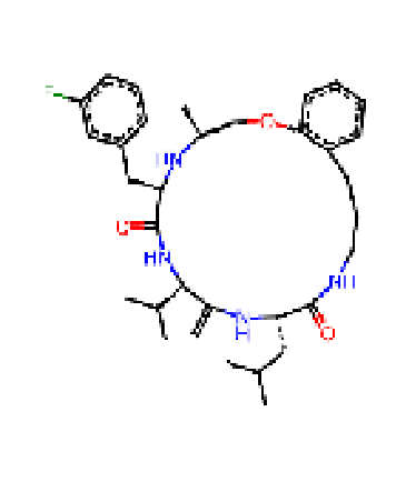 C=C1N[C@@H](CC(C)C)C(=O)NCCCc2ccccc2OC[C@H](C)N[C@H](Cc2cccc(F)c2)C(=O)N[C@@H]1C(C)C